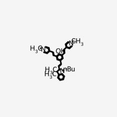 CCCC[N+]1=C(/C=C/c2cc(/C=C/c3cc[n+](C)cc3)c(O)c(/C=C/c3cc[n+](C)cc3)c2)C(C)(C)c2ccccc21